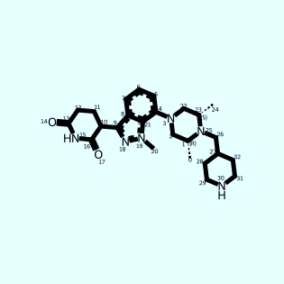 C[C@@H]1CN(c2cccc3c(C4CCC(=O)NC4=O)nn(C)c23)C[C@H](C)N1CC1CCNCC1